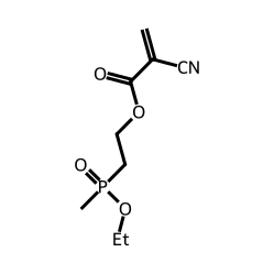 C=C(C#N)C(=O)OCCP(C)(=O)OCC